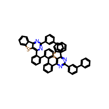 c1ccc(-c2cccc(-c3nc(-c4ccccc4-c4ccccc4-c4ccccc4-c4nc(-c5cccc(-c6ccccc6)c5)nc5c4sc4ccccc45)c4sc5ccccc5c4n3)c2)cc1